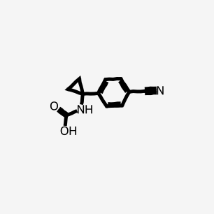 N#Cc1ccc(C2(NC(=O)O)CC2)cc1